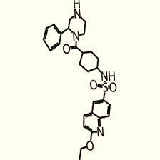 CCOc1ccc2cc(S(=O)(=O)NC3CCC(C(=O)N4CCNCC4c4ccccc4)CC3)ccc2n1